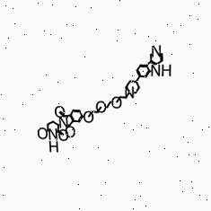 O=C1CCC(N2C(=O)c3ccc(OCCOCCOCCN4CCC(c5ccc6c(c5)[nH]c5ccncc56)CC4)cc3C2=O)C(=O)N1